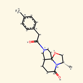 CC(C)[C@H]1COC23CCN(C(=O)Cc4ccc(C(F)(F)F)cc4)CC2CCC(=O)N13